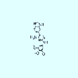 COc1cc(Nc2ncc(-c3ccc4nc[nH]c4c3)c(N)n2)cc(OC)c1OC